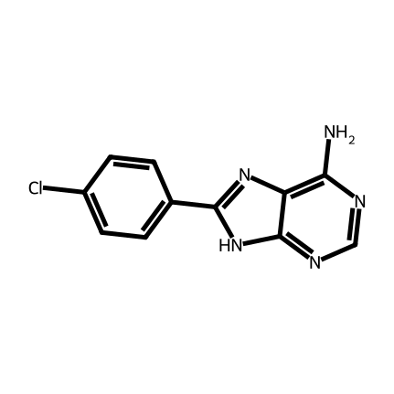 Nc1ncnc2[nH]c(-c3ccc(Cl)cc3)nc12